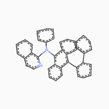 c1ccc(-c2ccccc2-c2c3ccccc3c(N(c3ccccc3)c3nccc4ccccc34)c3ccccc23)cc1